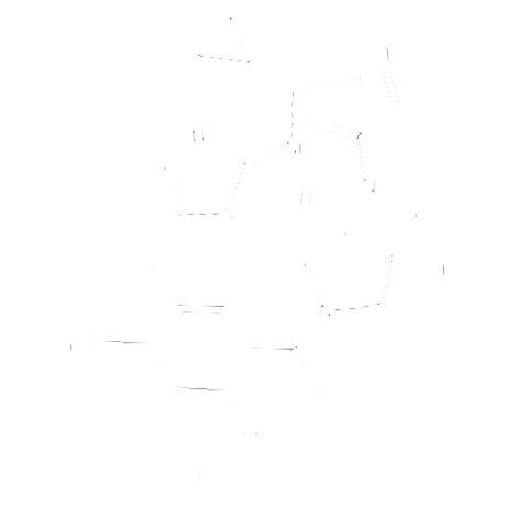 C=CC(=O)N1C[C@H]2CN(C(=O)c3cc(Sc4cnc(NC(O)C5CC5)s4)c(C)cc3OC)C[C@H]21